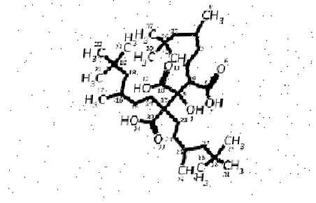 CC(CCC(C(=O)O)C(O)(C(=O)O)C(CCC(C)CC(C)(C)C)(CCC(C)CC(C)(C)C)C(=O)O)CC(C)(C)C